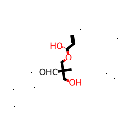 C=C[C@@H](O)OCC(C)(C=O)CO